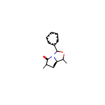 CCOC(=O)C1C=C2C(C(C)C)OC(c3ccccc3)N2C1=O